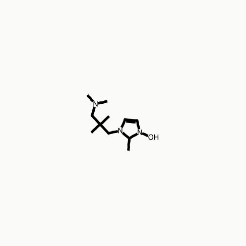 CC1N(O)C=CN1CC(C)(C)CN(C)C